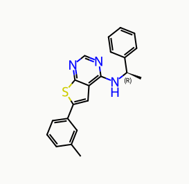 Cc1cccc(-c2cc3c(N[C@H](C)c4ccccc4)ncnc3s2)c1